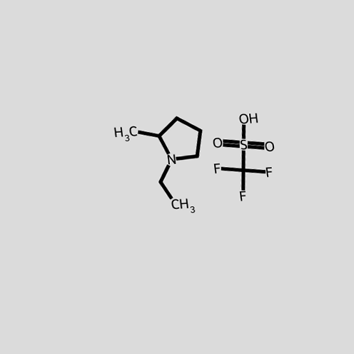 CCN1CCCC1C.O=S(=O)(O)C(F)(F)F